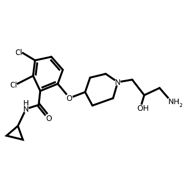 NCC(O)CN1CCC(Oc2ccc(Cl)c(Cl)c2C(=O)NC2CC2)CC1